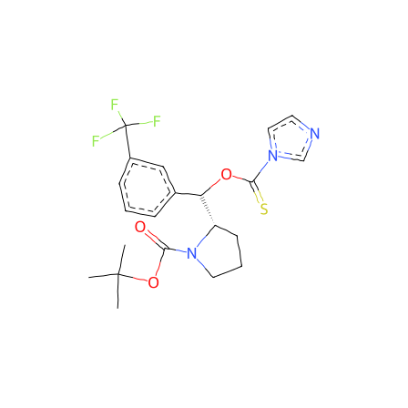 CC(C)(C)OC(=O)N1CCC[C@H]1C(OC(=S)n1ccnc1)c1cccc(C(F)(F)F)c1